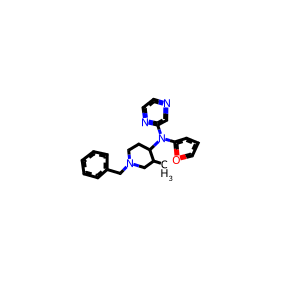 CC1CN(Cc2ccccc2)CCC1N(c1cnccn1)c1ccco1